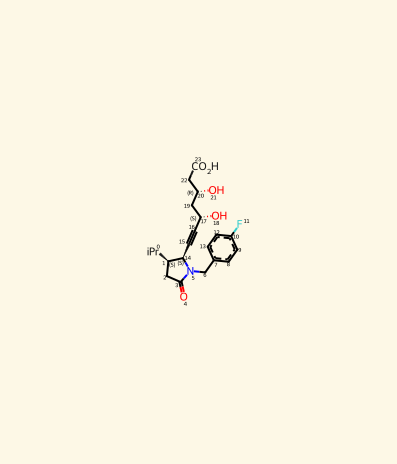 CC(C)[C@@H]1CC(=O)N(Cc2ccc(F)cc2)[C@@H]1C#C[C@@H](O)C[C@@H](O)CC(=O)O